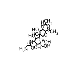 CO[C@H]1O[C@H](CO)[C@](O)([C@@H]2O[C@H](CO)[C@H](O)[C@@H](NC(=O)CN)[C@H]2O)[C@H](O)[C@@H]1NC(C)=O